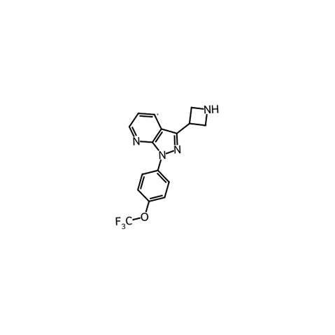 FC(F)(F)Oc1ccc(-n2nc(C3CNC3)c3[c]ccnc32)cc1